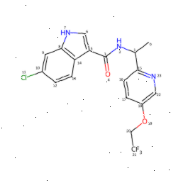 CC(NC(=O)c1c[nH]c2cc(Cl)ccc12)c1ccc(OCC(F)(F)F)cn1